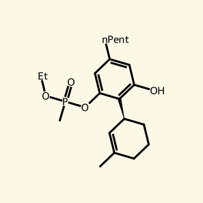 CCCCCc1cc(O)c([C@@H]2C=C(C)CCC2)c(OP(C)(=O)OCC)c1